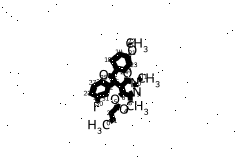 CCCC(=O)Oc1c(C)nn(C)c(=O)c1-c1c(-c2ccc(OC)cc2)oc2ccc(F)cc12